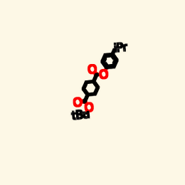 CC(C)c1ccc(OC(=O)C2CCC(C(=O)OC(C)(C)C)CC2)cc1